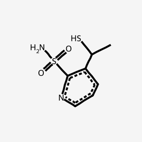 CC(S)c1cccnc1S(N)(=O)=O